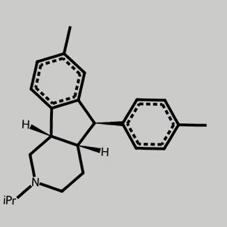 Cc1ccc([C@@H]2c3cc(C)ccc3[C@H]3CN(C(C)C)CC[C@@H]23)cc1